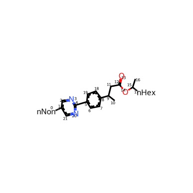 CCCCCCCCCc1cnc(-c2ccc(C(C)CC(=O)OC(C)CCCCCC)cc2)nc1